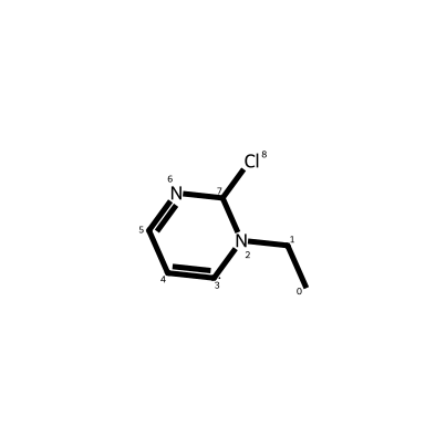 CCN1[C]=CC=NC1Cl